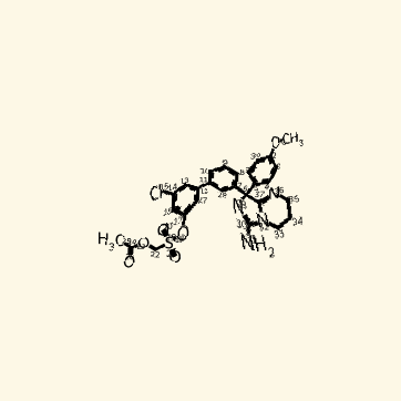 COc1ccc(C2(c3cccc(-c4cc(Cl)cc(OS(=O)(=O)COC(C)=O)c4)c3)N=C(N)N3CCCN=C32)cc1